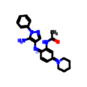 CC(=O)NC1=CC(=[N+]2CCCCC2)C=C/C1=N/c1cnn(-c2ccccc2)c1N